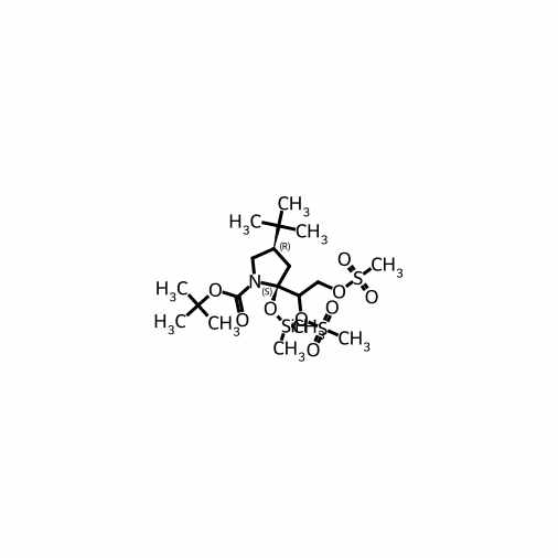 C[SiH](C)O[C@]1(C(COS(C)(=O)=O)OS(C)(=O)=O)C[C@H](C(C)(C)C)CN1C(=O)OC(C)(C)C